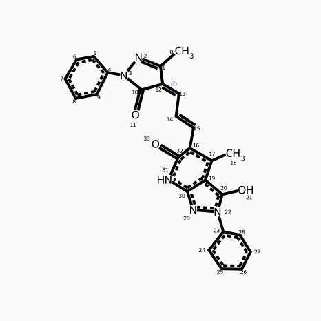 CC1=NN(c2ccccc2)C(=O)/C1=C\C=Cc1c(C)c2c(O)n(-c3ccccc3)nc2[nH]c1=O